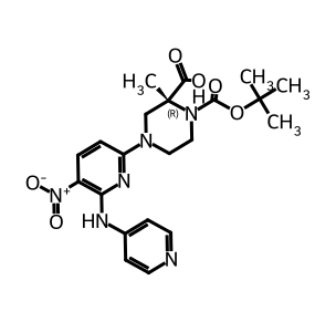 CC(C)(C)OC(=O)N1CCN(c2ccc([N+](=O)[O-])c(Nc3ccncc3)n2)C[C@]1(C)C(=O)O